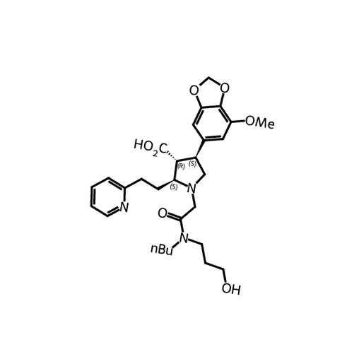 CCCCN(CCCO)C(=O)CN1C[C@H](c2cc(OC)c3c(c2)OCO3)[C@@H](C(=O)O)[C@@H]1CCc1ccccn1